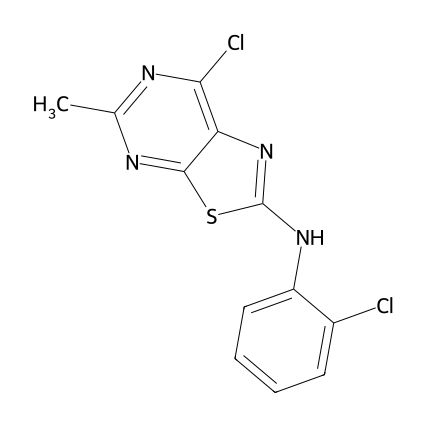 Cc1nc(Cl)c2nc(Nc3ccccc3Cl)sc2n1